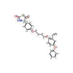 CCCc1cc(Oc2ccccc2)ccc1OCCCCOc1ccc(C2NC(=O)SC2=O)cc1